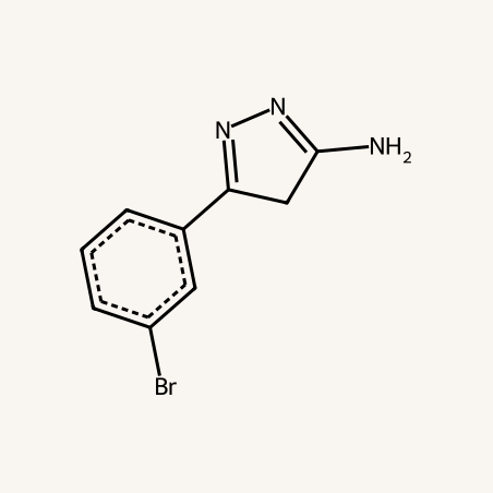 NC1=NN=C(c2cccc(Br)c2)C1